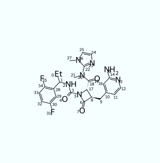 CCC(NC(=O)N1C(=O)[C@H](Cc2ccnc(N)c2)[C@H]1C(=O)N(C)c1nccn1C)c1cc(F)ccc1F